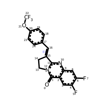 O=c1c2cc(F)c(F)cc2nc2n1CC/C2=C\c1ccc(OC(F)(F)F)cc1